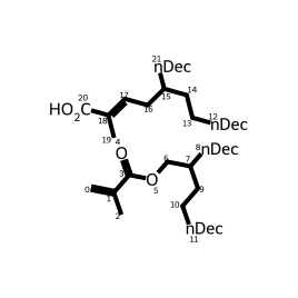 C=C(C)C(=O)OCC(CCCCCCCCCC)CCCCCCCCCCCC.CCCCCCCCCCCCC(CC=C(C)C(=O)O)CCCCCCCCCC